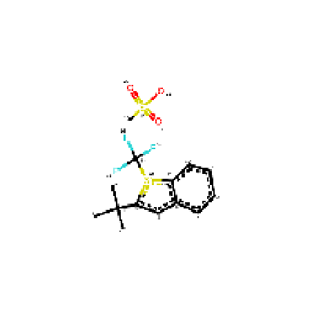 CC(C)(C)c1cc2ccccc2[s+]1C(F)(F)F.CS(=O)(=O)[O-]